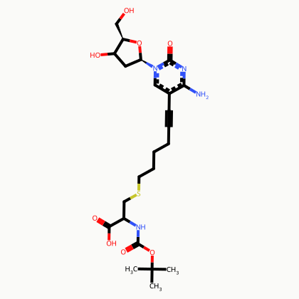 CC(C)(C)OC(=O)NC(CSCCCCC#Cc1cn([C@H]2CC(O)[C@@H](CO)O2)c(=O)nc1N)C(=O)O